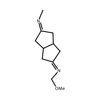 CN=C1CC2CC(=NCOC)CC2C1